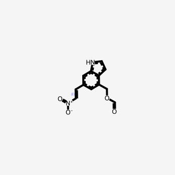 O=COCc1cc(/C=C/[N+](=O)[O-])cc2[nH]ccc12